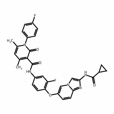 Cc1cc(C)n(-c2ccc(F)cc2)c(=O)c1C(=O)Nc1ccc(Oc2ccc3nc(NC(=O)C4CC4)cn3c2)c(F)c1